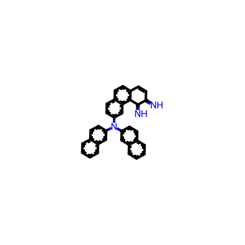 N=C1C=Cc2ccc3ccc(N(c4ccc5ccccc5c4)c4ccc5ccccc5c4)cc3c2C1=N